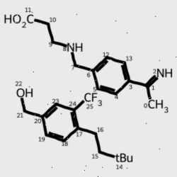 CC(=N)c1ccc(CNCCC(=O)O)cc1.CC(C)(C)CCc1ccc(CO)cc1C(F)(F)F